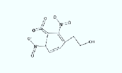 O=[N+]([O-])C1=C(CCO)C=CC([N+](=O)[O-])C1=S(=O)=O